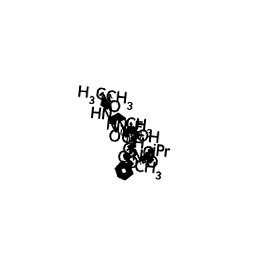 CC(C)OC(=O)[C@H](C)NP(=O)(OC[C@H]1O[C@@H](n2ccc(NC(=O)CN(C)C)nc2=O)[C@](C)(F)[C@@H]1O)Oc1ccccc1